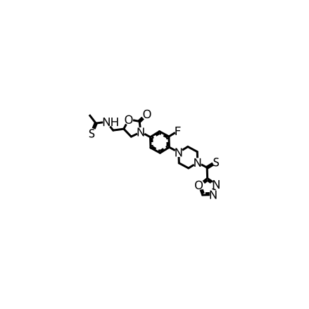 CC(=S)NCC1CN(c2ccc(N3CCN(C(=S)c4nnco4)CC3)c(F)c2)C(=O)O1